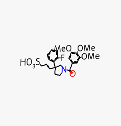 COc1cc(C(=O)N2CCC(CCCS(=O)(=O)O)(c3ccccc3F)C2)cc(OC)c1OC